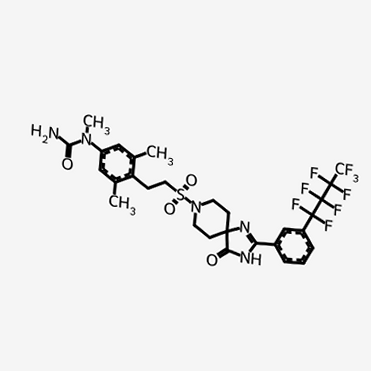 Cc1cc(N(C)C(N)=O)cc(C)c1CCS(=O)(=O)N1CCC2(CC1)N=C(c1cccc(C(F)(F)C(F)(F)C(F)(F)C(F)(F)F)c1)NC2=O